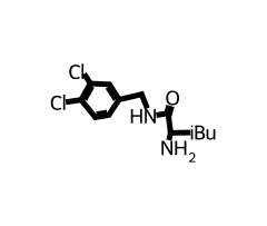 CCC(C)C(N)C(=O)NCc1ccc(Cl)c(Cl)c1